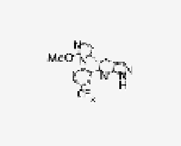 COc1nccc(-c2cc3cn[nH]c3nc2-c2cccc(C(F)(F)F)c2)n1